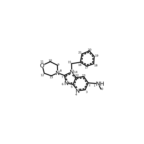 CNc1cnc2nc(N3CCOCC3)n(Cc3ccccc3)c2c1